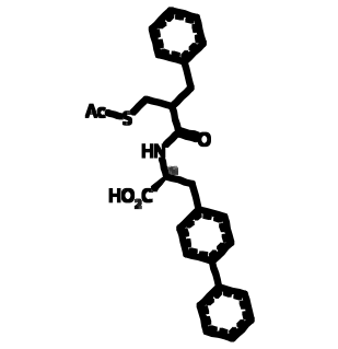 CC(=O)SCC(Cc1ccccc1)C(=O)N[C@@H](Cc1ccc(-c2ccccc2)cc1)C(=O)O